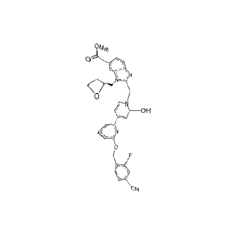 COC(=O)c1ccc2nc(CN3C=CC(c4cccc(OCc5ccc(C#N)cc5F)n4)=CC3O)n(C[C@@H]3CCO3)c2c1